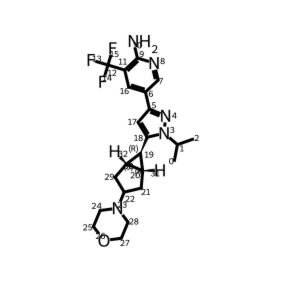 CC(C)n1nc(-c2cnc(N)c(C(F)(F)F)c2)cc1[C@H]1[C@@H]2CC(N3CCOCC3)C[C@@H]21